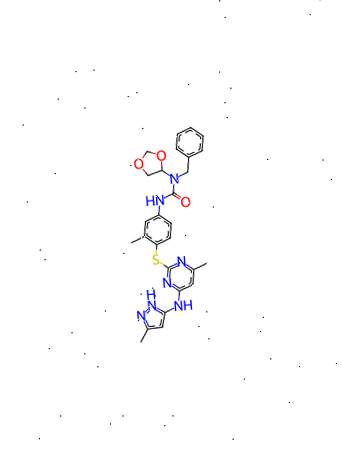 Cc1cc(Nc2cc(C)nc(Sc3ccc(NC(=O)N(Cc4ccccc4)C4COCO4)cc3C)n2)[nH]n1